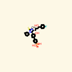 CN1C(=S)N(c2ccccc2)[C@H](c2ccc(-c3ccc(P(=O)(O)O)cc3)cc2O)[C@H]1CCC[C@@H](O)c1ccc(F)cc1